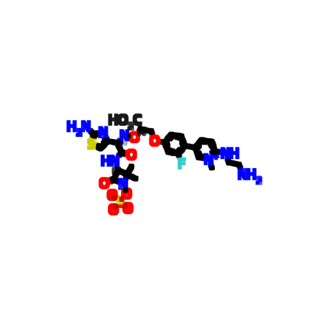 C[n+]1cc(-c2ccc(OC[C@H](O/N=C(\C(=O)N[C@@H]3C(=O)N(OS(=O)(=O)[O-])C3(C)C)c3csc(N)n3)C(=O)O)cc2F)ccc1NCCN